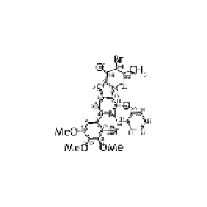 COc1cc(-c2nc3sc4c(c3c(=O)n2Cc2ccccc2)CC(C)C(Br)C4=O)c(Br)c(OC)c1OC